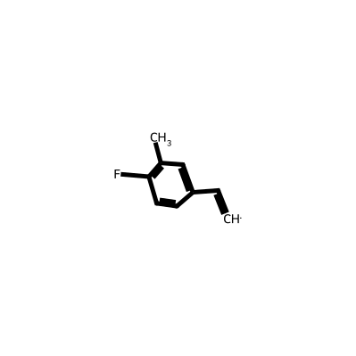 [CH]=Cc1ccc(F)c(C)c1